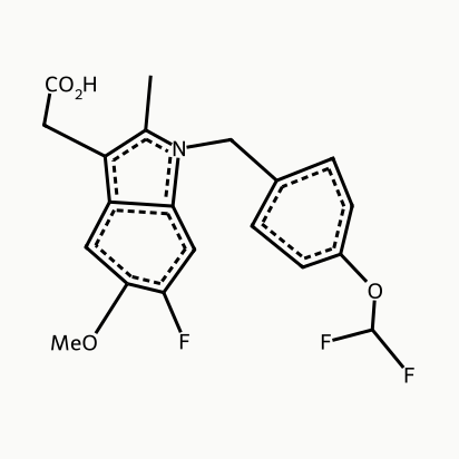 COc1cc2c(CC(=O)O)c(C)n(Cc3ccc(OC(F)F)cc3)c2cc1F